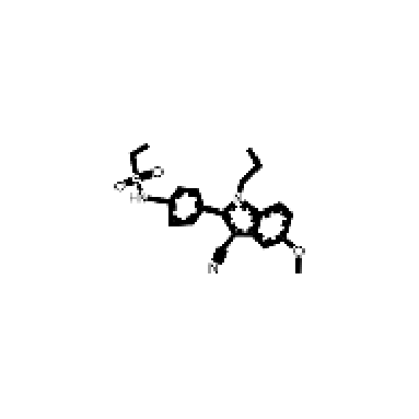 CCCn1c(-c2ccc(NS(=O)(=O)CC)cc2)c(C#N)c2cc(OC)ccc21